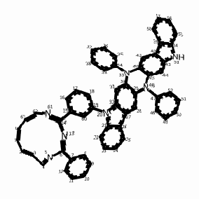 C1=C\C=C\C=N\C(c2ccccc2)=N/C(c2cccc(-n3c4ccccc4c4cc5c(cc43)N(c3ccccc3)c3cc4c(cc3N5c3ccccc3)[nH]c3ccccc34)c2)=N\C=C/1